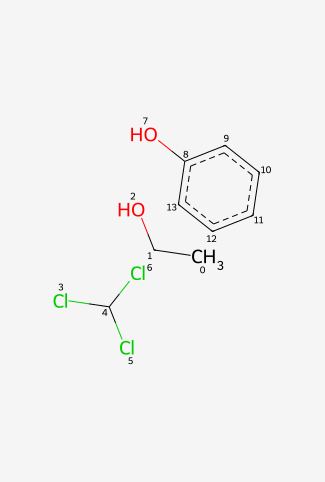 CCO.ClC(Cl)Cl.Oc1ccccc1